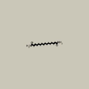 NC(=O)C=CCCCCCCCCCCC=CC(N)=O